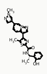 Cc1sc(C(=O)N[C@@H](C)c2ccccc2O)nc1-c1cnn2cc(-c3cnn(C)c3)ccc12